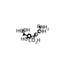 NC(=O)[C@@H]1C[C@@H](N2CC(Oc3ccc(C4C[C@H]4B(O)O)c(O)c3C(=O)O)C2)CN1